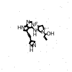 C=CC(O)N1C[C@H](Nc2ncnc3[nH]cc(C#Cc4cn[nH]c4)c23)[C@@H](F)C[C@@H]1C